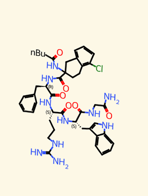 CCCCC(=O)NC1(C(=O)N[C@H](Cc2ccccc2)C(=O)N[C@@H](CCCNC(=N)N)C(=O)N[C@@H](Cc2c[nH]c3ccccc23)C(=O)NCC(N)=O)CCc2c(Cl)cccc2C1